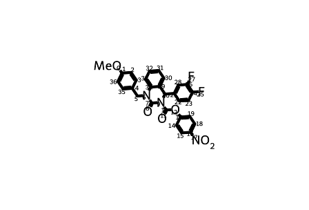 COc1ccc(CN2C(=O)N(C(=O)Oc3ccc([N+](=O)[O-])cc3)C(c3ccc(F)c(F)c3)c3ccccc32)cc1